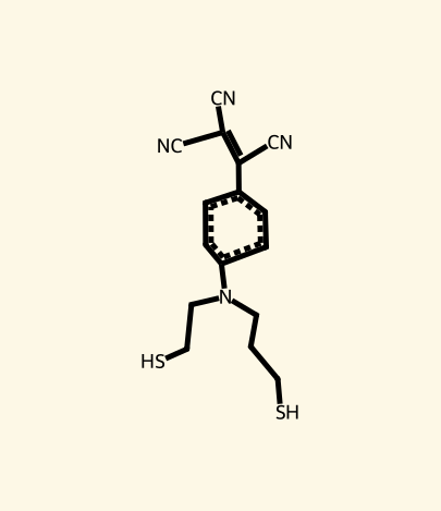 N#CC(C#N)=C(C#N)c1ccc(N(CCS)CCCS)cc1